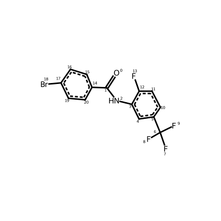 O=C(Nc1cc(C(F)(F)F)ccc1F)c1ccc(Br)cc1